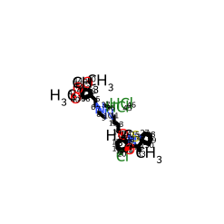 COc1cc(CCN2CCN(CCCCOc3ccc(Cl)cc3[N+]3(C)Sc4ccccc4C(C)C3=O)CC2)cc(OC)c1OC.Cl.Cl